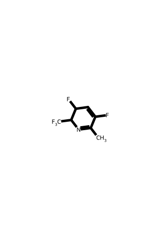 CC1=NC(C(F)(F)F)[C](F)C=C1F